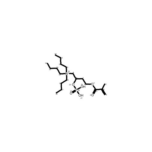 C=C(C)C(=O)OCCC(C[N+](CCCC)(CCCC)CCCC)OP(=O)(O)O